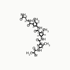 C=C(Br)C(=O)Nc1cn(C)c(C(=O)Nc2cc(C(=O)Nc3cc(C(=O)NCCC(N)=O)n(C)c3)n(C)c2)n1